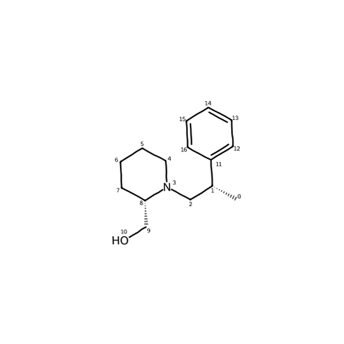 C[C@H](CN1CCCC[C@H]1CO)c1ccccc1